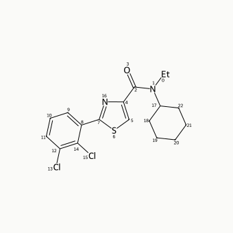 CCN(C(=O)c1csc(-c2cccc(Cl)c2Cl)n1)C1CCCCC1